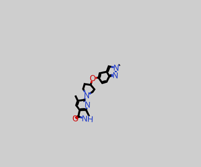 Cc1cc2c(nc1N1CCC(Oc3ccc4nn(C)cc4c3)CC1)CNC2=O